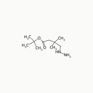 CC(C)(CNN)CC(=O)OC(C)(C)C